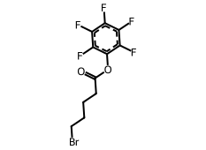 O=C(CCCCBr)Oc1c(F)c(F)c(F)c(F)c1F